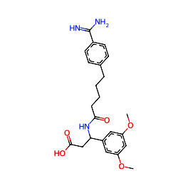 COc1cc(OC)cc(C(CC(=O)O)NC(=O)CCCCc2ccc(C(=N)N)cc2)c1